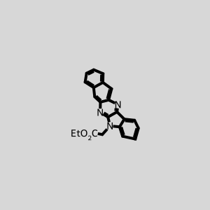 CCOC(=O)Cn1c2ccccc2c2nc3cc4ccccc4cc3nc21